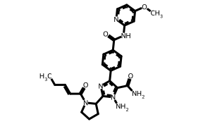 CC/C=C/C(=O)N1CCCC1c1nc(-c2ccc(C(=O)Nc3cc(OC)ccn3)cc2)c(C(N)=O)n1N